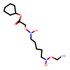 O=CCON(O)CCCCCN(O)OCC(=O)OC1CCCCC1